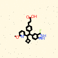 COc1cccc(/C(=C(\c2ccc(/C=C/C(=O)O)cc2)c2ccc3c(c2)C(F)NN3)C2CCC2)n1